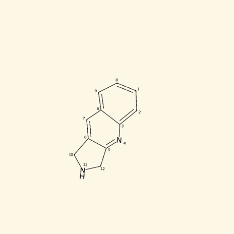 c1ccc2nc3c(cc2c1)CNC3